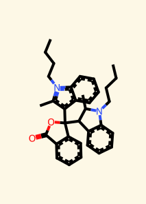 CCCCN1c2ccccc2C(C2(c3c(C)n(CCCC)c4ccccc34)OC(=O)c3ccccc32)C1C